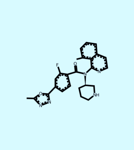 Cc1nnc(-c2ccc(C(=O)N(c3nccc4cccc(C)c34)[C@@H]3CCCNC3)c(F)c2)o1